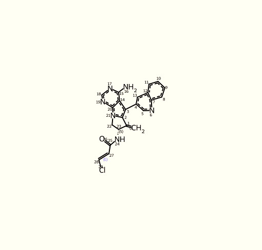 C=C1c2c(-c3cnc4ccccc4c3)c3c(N)ncnc3n2C[C@H]1NC(=O)/C=C/Cl